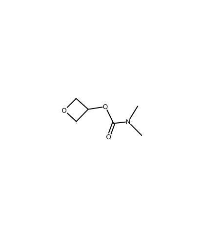 CN(C)C(=O)OC1[CH]OC1